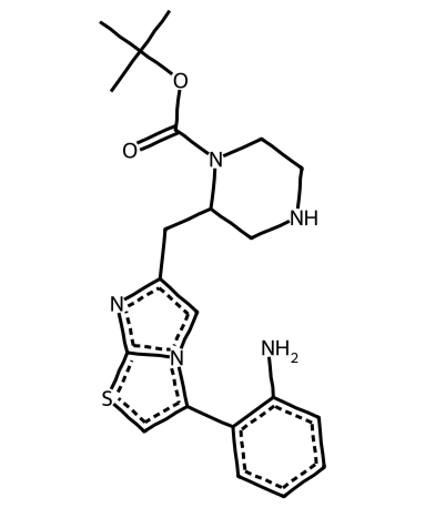 CC(C)(C)OC(=O)N1CCNCC1Cc1cn2c(-c3ccccc3N)csc2n1